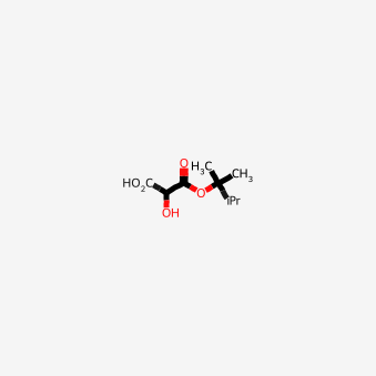 CC(C)C(C)(C)OC(=O)C(O)C(=O)O